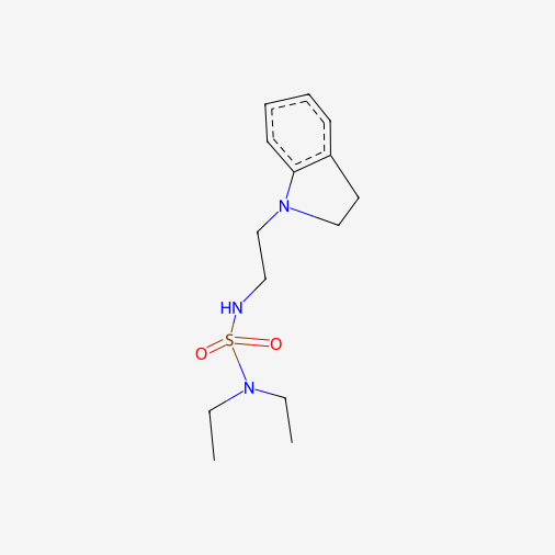 CCN(CC)S(=O)(=O)NCCN1CCc2ccccc21